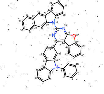 c1ccc(-n2c3ccccc3c3ccc(-c4nc(-n5c6ccccc6c6cc7ccccc7cc65)nc5oc6ccccc6c45)cc32)cc1